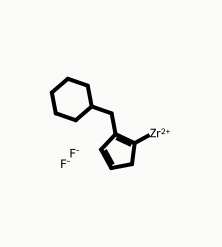 [F-].[F-].[Zr+2][C]1=C(CC2CCCCC2)C=CC1